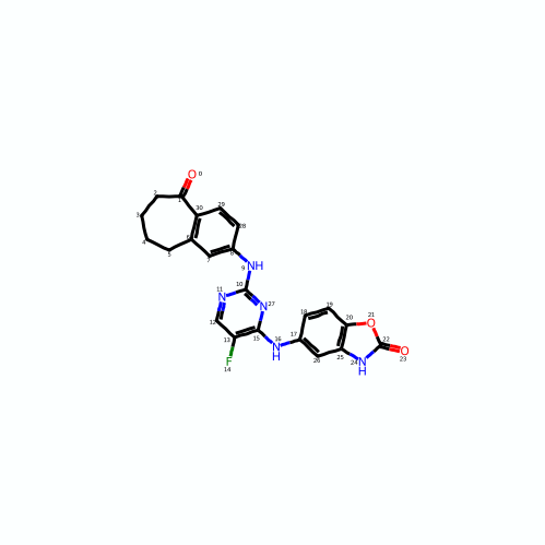 O=C1CCCCc2cc(Nc3ncc(F)c(Nc4ccc5oc(=O)[nH]c5c4)n3)ccc21